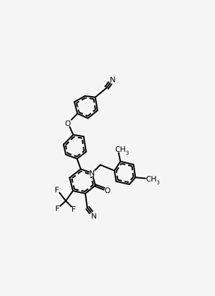 Cc1ccc(Cn2c(-c3ccc(Oc4ccc(C#N)cc4)cc3)cc(C(F)(F)F)c(C#N)c2=O)c(C)c1